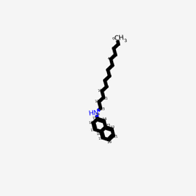 CCCCCCCCCCCCCCNc1ccc2ccccc2c1